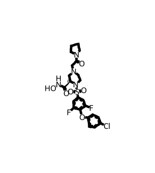 O=C(NO)[C@H]1CN(CC(=O)N2CCCC2)CCN1S(=O)(=O)c1cc(F)c(Oc2ccc(Cl)cc2)c(F)c1